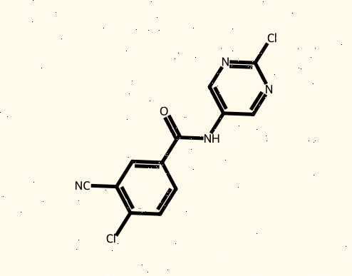 N#Cc1cc(C(=O)Nc2cnc(Cl)nc2)ccc1Cl